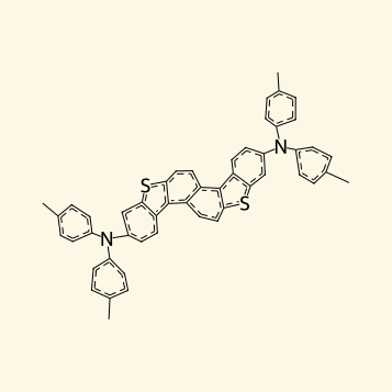 Cc1ccc(N(c2ccc(C)cc2)c2ccc3c(c2)sc2ccc4c(ccc5sc6cc(N(c7ccc(C)cc7)c7ccc(C)cc7)ccc6c54)c23)cc1